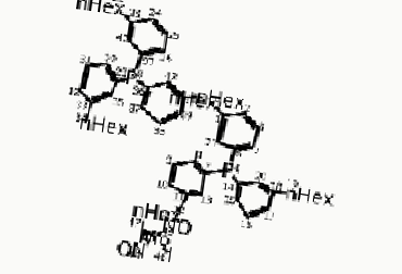 CCCCCCc1cccc(P(c2cccc(CCCCCC)c2)c2cccc(CCCCCC)c2)c1.CCCCCCc1cccc(P(c2cccc(CCCCCC)c2)c2cccc(CCCCCC)c2)c1.O=[N][Mo]([I])([I])[N]=O